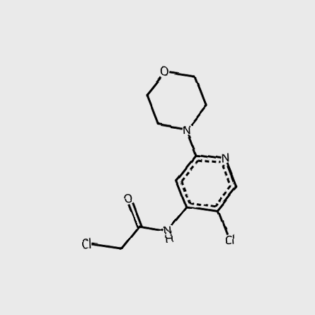 O=C(CCl)Nc1cc(N2CCOCC2)ncc1Cl